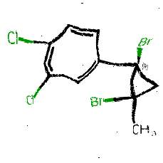 CC1(Br)C[C@@]1(Br)c1ccc(Cl)c(Cl)c1